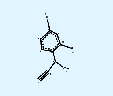 C#CC(O)c1ccc(F)cc1Br